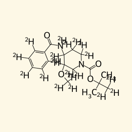 [2H]c1c([2H])c([2H])c(C(=O)N([2H])C2([2H])C([2H])([2H])C([2H])([2H])N(C(=O)OC(C)(C)C([2H])([2H])[2H])C([2H])([2H])C2([2H])OC([2H])([2H])[2H])c([2H])c1[2H]